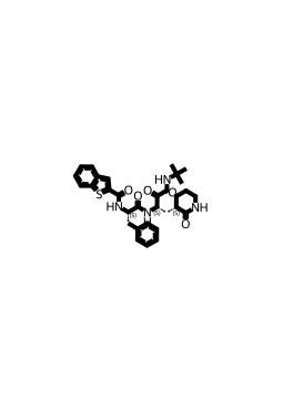 CC(C)(C)NC(=O)C(=O)[C@H](C[C@@H]1CCCNC1=O)NC(=O)[C@H](Cc1ccccc1)NC(=O)c1cc2ccccc2s1